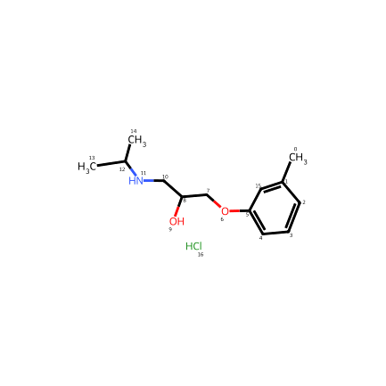 Cc1cccc(OCC(O)CNC(C)C)c1.Cl